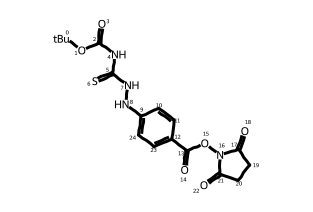 CC(C)(C)OC(=O)NC(=S)NNc1ccc(C(=O)ON2C(=O)CCC2=O)cc1